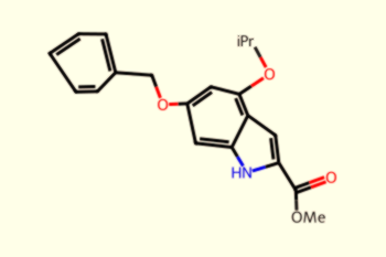 COC(=O)c1cc2c(OC(C)C)cc(OCc3ccccc3)cc2[nH]1